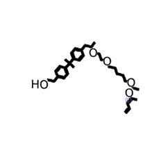 C=C/C=C(\C)OC(C)OCCCCCOCCOC(C)Cc1ccc(C(C)(C)c2ccc(CCO)cc2)cc1